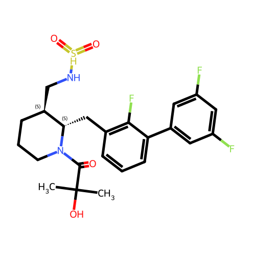 CC(C)(O)C(=O)N1CCC[C@@H](CN[SH](=O)=O)[C@@H]1Cc1cccc(-c2cc(F)cc(F)c2)c1F